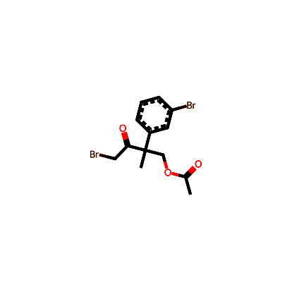 CC(=O)OCC(C)(C(=O)CBr)c1cccc(Br)c1